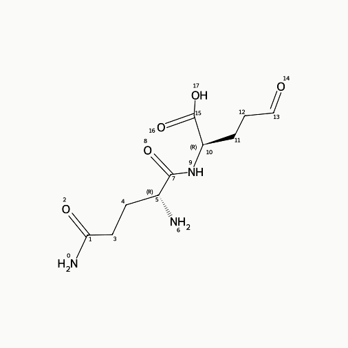 NC(=O)CC[C@@H](N)C(=O)N[C@H](CCC=O)C(=O)O